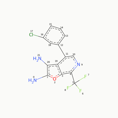 Nc1oc2c(C(F)(F)F)ncc(-c3cccc(Cl)c3)c2c1N